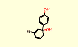 CCC1=CC(O)(c2ccc(O)cc2)CC=C1